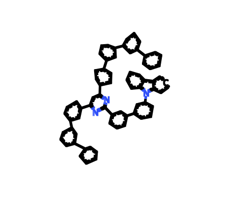 c1ccc(-c2cccc(-c3cccc(-c4ccc(-c5cc(-c6cccc(-c7cccc(-c8ccccc8)c7)c6)nc(-c6cccc(-c7cccc(-n8c9ccccc9c9ccccc98)c7)c6)n5)cc4)c3)c2)cc1